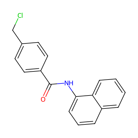 O=C(Nc1cccc2ccccc12)c1ccc(CCl)cc1